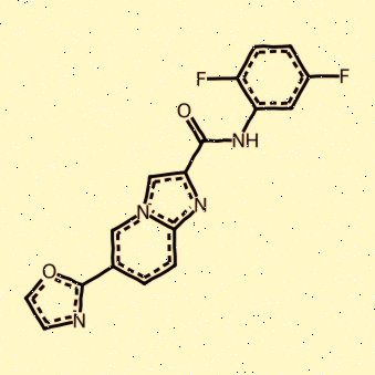 O=C(Nc1cc(F)ccc1F)c1cn2cc(-c3ncco3)ccc2n1